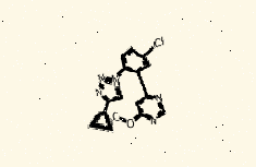 COc1cc(-c2cc(Cl)ccc2-n2cc(C3CC3)nn2)ncn1